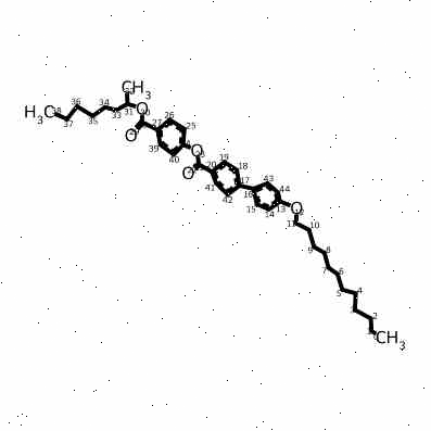 CCCCCCCCCCCCOc1ccc(-c2ccc(C(=O)Oc3ccc(C(=O)OC(C)CCCCCC)cc3)cc2)cc1